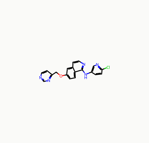 Clc1ccc(Nc2nccc3cc(OCc4ccncn4)ccc23)cn1